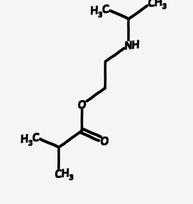 CC(C)NCCOC(=O)C(C)C